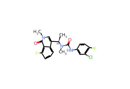 C[C@H](c1cn(C)c(=O)c2c(F)cccc12)N(C)C(=O)Nc1ccc(F)c(Cl)c1